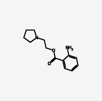 Nc1ccccc1C(=O)OCCN1CCCC1